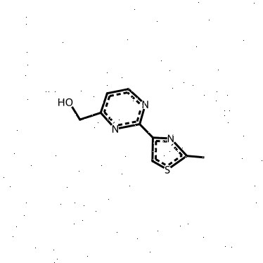 Cc1nc(-c2nccc(CO)n2)cs1